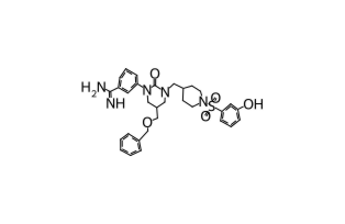 N=C(N)c1cccc(N2CC(COCc3ccccc3)CN(CC3CCN(S(=O)(=O)c4cccc(O)c4)CC3)C2=O)c1